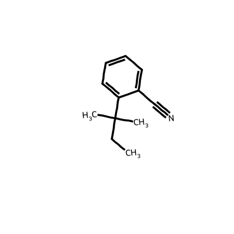 CCC(C)(C)c1ccccc1C#N